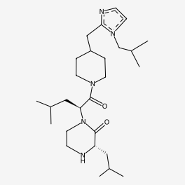 CC(C)C[C@@H]1NCCN([C@@H](CC(C)C)C(=O)N2CCC(Cc3nccn3CC(C)C)CC2)C1=O